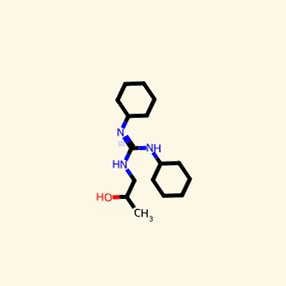 CC(O)CN/C(=N/C1CCCCC1)NC1CCCCC1